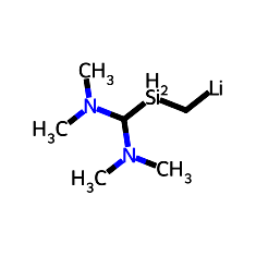 [Li][CH2][SiH2]C(N(C)C)N(C)C